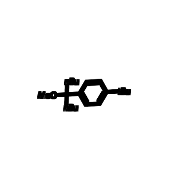 CCCCC(CCCC)(OC)c1ccc(C(C)(C)C)cc1